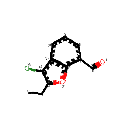 CCc1oc2c(C=O)cccc2c1Cl